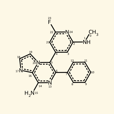 CNc1cc(-c2c(-c3ccccc3)nc(N)c3nccn23)cc(F)n1